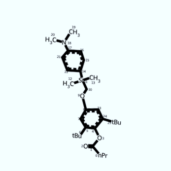 CCCC(=O)Oc1c(C(C)(C)C)cc(OC[Si](C)(C)c2ccc(N(C)C)cc2)cc1C(C)(C)C